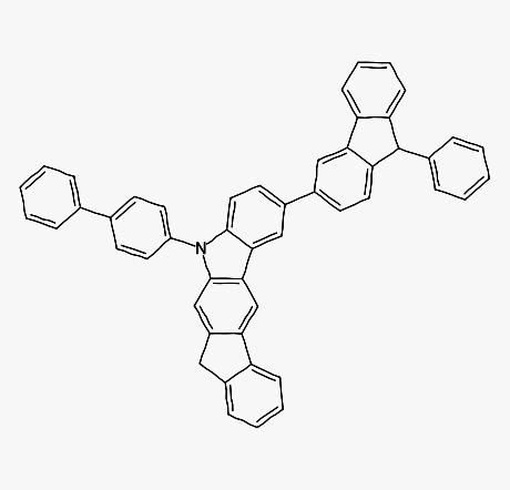 c1ccc(-c2ccc(-n3c4ccc(-c5ccc6c(c5)-c5ccccc5C6c5ccccc5)cc4c4cc5c(cc43)Cc3ccccc3-5)cc2)cc1